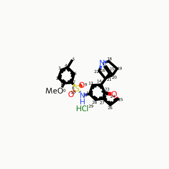 COc1ccc(C)cc1S(=O)(=O)Nc1cc(C2=CN3CCC2CC3)c2occc2c1.Cl